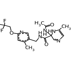 CC(=O)NC1(C(=O)NCc2cnc(OCC(F)(F)F)cc2C)C=NC=C(C)N1